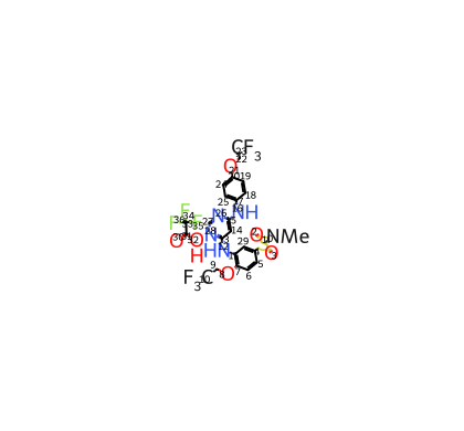 CNS(=O)(=O)c1ccc(OCC(F)(F)F)c(Nc2cc(Nc3ccc(OCC(F)(F)F)cc3)ncn2)c1.O=C(O)C(F)(F)F